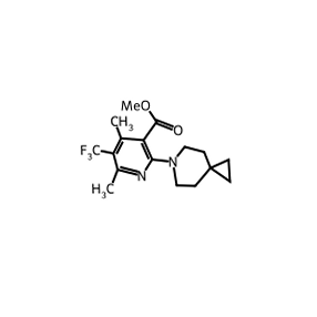 COC(=O)c1c(N2CCC3(CC2)CC3)nc(C)c(C(F)(F)F)c1C